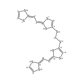 C1=CSC(=CC=C2SC=C(SCSC3=CSC(=CC=C4SC=CS4)S3)S2)S1